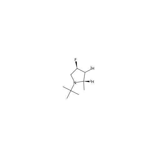 [2H]C1[C@H](F)CN(C(C)(C)C)[C@@]1([2H])C